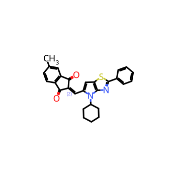 Cc1ccc2c(c1)C(=O)/C(=C\c1cc3sc(-c4ccccc4)nc3n1C1CCCCC1)C2=O